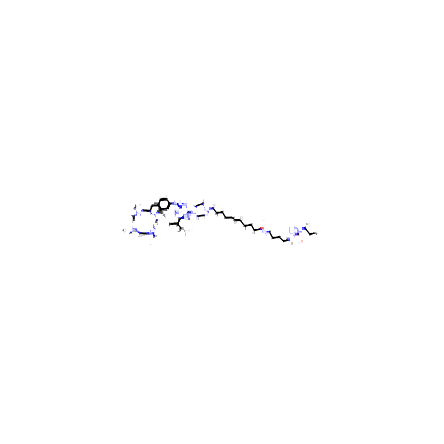 O=C(O)CC[C@H](NC(=O)N[C@@H](CCCCNC(=O)CCCCCCCCCCN1CCN(c2nc(Nc3ccc(CC4CN(CC(=O)O)CCN(CC(=O)O)CCN(CC(=O)O)CCN4CC(=O)O)cc3)nc(C(CC(=O)O)CC(=O)O)n2)CC1)C(=O)O)C(=O)O